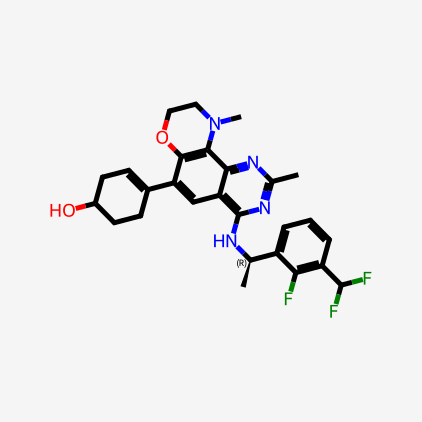 Cc1nc(N[C@H](C)c2cccc(C(F)F)c2F)c2cc(C3=CCC(O)CC3)c3c(c2n1)N(C)CCO3